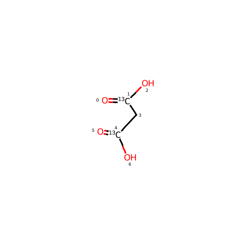 O=[13C](O)C[13C](=O)O